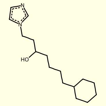 OC(CCCCC1CCCCC1)CCn1ccnc1